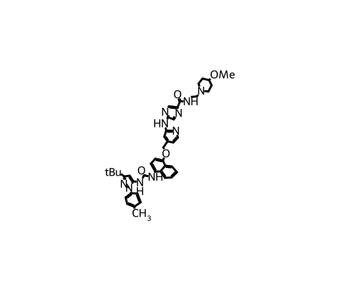 COC1CCN(CCNC(=O)c2cnc(Nc3cc(COc4ccc(NC(=O)Nc5cc(C(C)(C)C)nn5-c5ccc(C)cc5)c5ccccc45)ccn3)cn2)CC1